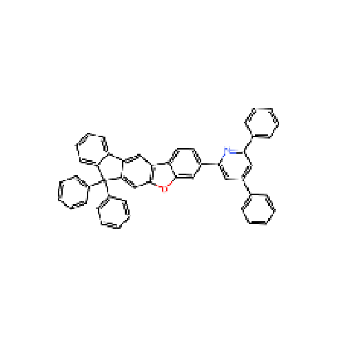 c1ccc(-c2cc(-c3ccccc3)nc(-c3ccc4c(c3)oc3cc5c(cc34)-c3ccccc3C5(c3ccccc3)c3ccccc3)c2)cc1